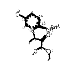 Br.COC(=O)C(=O)C(C)n1cc(Cl)ccc1=N